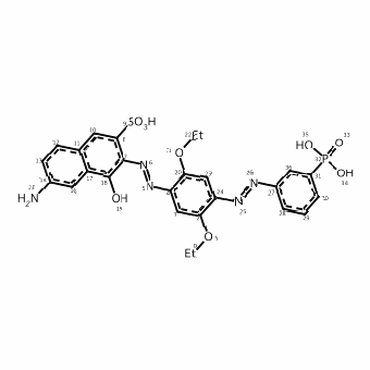 CCOc1cc(/N=N/c2c(S(=O)(=O)O)cc3ccc(N)cc3c2O)c(OCC)cc1/N=N/c1cccc(P(=O)(O)O)c1